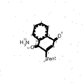 CCCC(C)C1=CC(=O)c2ccccc2C1=O.N